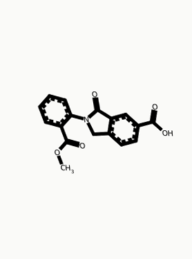 COC(=O)c1ccccc1N1Cc2ccc(C(=O)O)cc2C1=O